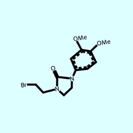 COc1ccc(N2CCN(CCBr)C2=O)cc1OC